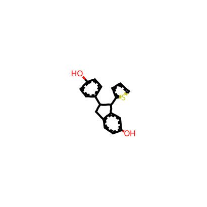 Oc1ccc(C2Cc3ccc(O)cc3C2c2cccs2)cc1